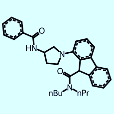 CCCCN(CCC)C(=O)C1c2ccccc2-c2cccc(N3CCC(NC(=O)c4ccccc4)C3)c21